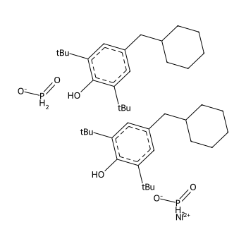 CC(C)(C)c1cc(CC2CCCCC2)cc(C(C)(C)C)c1O.CC(C)(C)c1cc(CC2CCCCC2)cc(C(C)(C)C)c1O.O=[PH2][O-].O=[PH2][O-].[Ni+2]